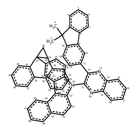 CC1(C)c2ccccc2-c2cc(-c3nc4ccccc4nc3-n3c4ccc(C56CC5c5ccccc5-c5ccccc56)cc4c4c5ccccc5ccc43)ccc21